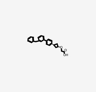 O=C(O)CO[C@H]1C[C@@H](c2ccc(-c3cccc(Cc4ccccc4)c3)cc2)C1